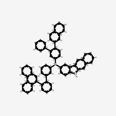 c1ccc(-c2cc(N(c3cccc(-c4ccccc4-c4cc5ccccc5c5ccccc45)c3)c3ccc4oc5cc6ccccc6cc5c4c3)ccc2-c2ccc3ccccc3c2)cc1